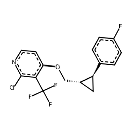 Fc1ccc([C@H]2C[C@@H]2COc2ccnc(Cl)c2C(F)(F)F)cc1